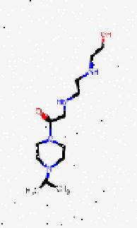 CC(C)N1CCN(C(=O)CNCCNCCO)CC1